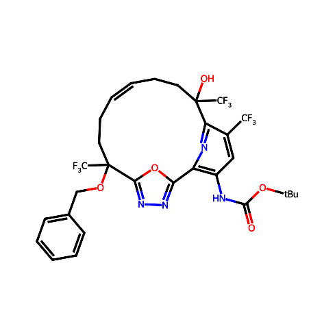 CC(C)(C)OC(=O)Nc1cc(C(F)(F)F)c2nc1-c1nnc(o1)C(OCc1ccccc1)(C(F)(F)F)CCC=CCCC2(O)C(F)(F)F